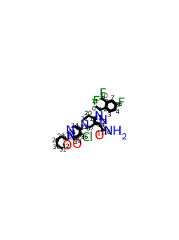 CC(c1ccc(F)cc1C(F)F)n1nc(C(N)=O)c2c1CCN(c1cnn(C3CCCCO3)c(=O)c1Cl)C2